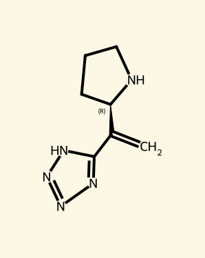 C=C(c1nnn[nH]1)[C@H]1CCCN1